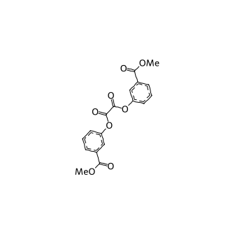 COC(=O)c1cccc(OC(=O)C(=O)Oc2cccc(C(=O)OC)c2)c1